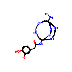 CCNC12CNCCNCC(NC(=O)Cc3ccc(O)c(O)c3)(CNCCNC1)CNCCNC2